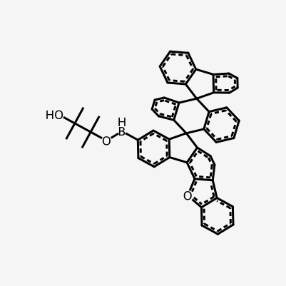 CC(C)(O)C(C)(C)OBc1ccc2c(c1)C1(c3ccccc3C3(c4ccccc4-c4ccccc43)c3ccccc31)c1ccc3c(oc4ccccc43)c1-2